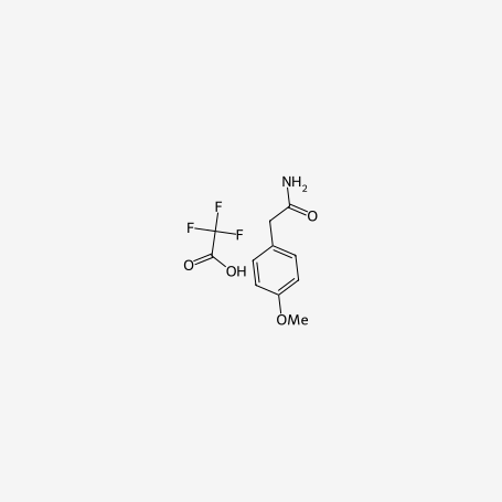 COc1ccc(CC(N)=O)cc1.O=C(O)C(F)(F)F